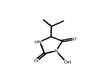 CC(C)C1NC(=O)N(O)C1=O